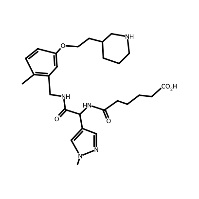 Cc1ccc(OCCC2CCCNC2)cc1CNC(=O)C(NC(=O)CCCCC(=O)O)c1cnn(C)c1